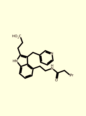 CC(C)CC(=O)NCCc1cccc2[nH]c(CCC(=O)O)c(Cc3cccnc3)c12